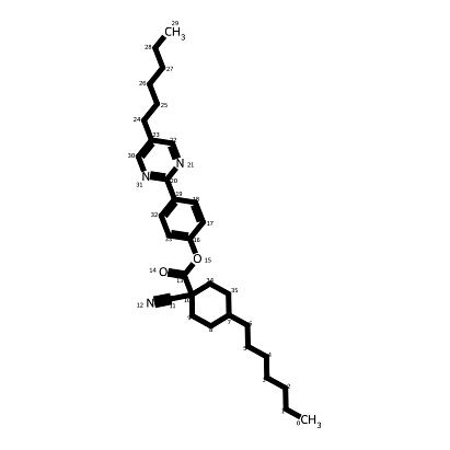 CCCCCCCC1CCC(C#N)(C(=O)Oc2ccc(-c3ncc(CCCCCC)cn3)cc2)CC1